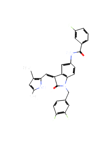 Cc1cc(C)c(/C=C2\C(=O)N(Cc3ccc(F)c(F)c3)c3ccc(NC(=O)c4cccc(F)c4)cc32)[nH]1